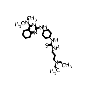 CCN(CC)CCCNC(=S)N[C@H]1CC[C@@H](Nc2nc3c(c(N(C)C)n2)CCCC3)CC1